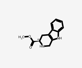 COC(=O)[C@H]1Cc2c([nH]c3ccccc23)CN1